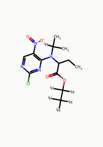 [2H]C(C)(C)N(c1nc(Cl)ncc1[N+](=O)[O-])C(CC)C(=O)OC([2H])([2H])C([2H])([2H])[2H]